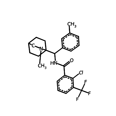 Cc1cccc(C(NC(=O)c2cccc(C(F)(F)F)c2Cl)C23CCC(CC2)CN3C)c1